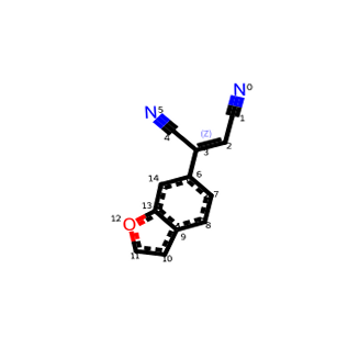 N#C/C=C(\C#N)c1ccc2ccoc2c1